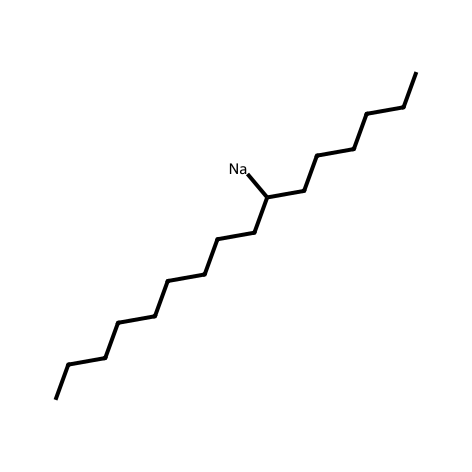 CCCCCCCCC[CH]([Na])CCCCCC